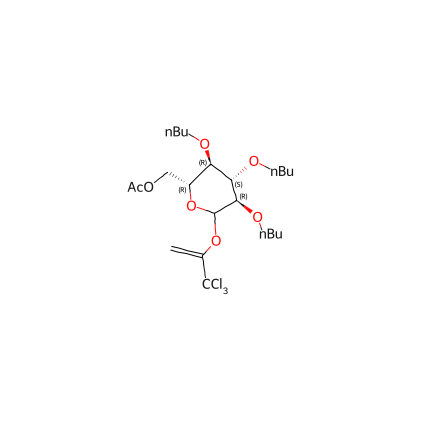 C=C(OC1O[C@H](COC(C)=O)[C@@H](OCCCC)[C@H](OCCCC)[C@H]1OCCCC)C(Cl)(Cl)Cl